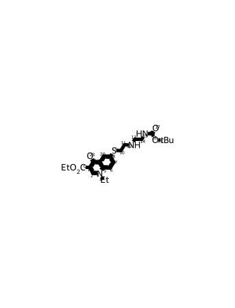 CCOC(=O)c1cn(CC)c2ccc(SCCNCCNC(=O)OC(C)(C)C)cc2c1=O